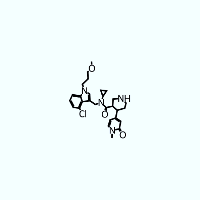 COCCCn1cc(CN(C(=O)C2CNCCC2c2ccn(C)c(=O)c2)C2CC2)c2c(Cl)cccc21